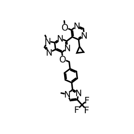 COc1ncnc(C2CC2)c1-c1nc(OCc2ccc(-c3nc(C(F)(F)F)cn3C)cc2)c2ncn(C)c2n1